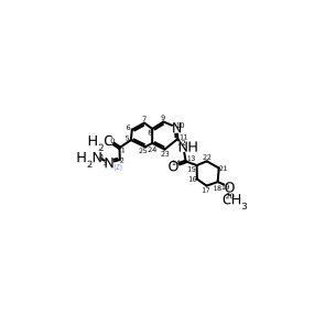 C=C(/C=N\N)c1ccc2cnc(NC(=O)C3CCC(OC)CC3)cc2c1